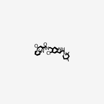 C[C@H]1CCN(Cc2cc3cc(Cl)c(CNC(=O)c4cc(=O)n5ccccc5n4)cc3[nH]2)[C@@H](C)C1